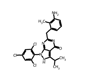 Cc1c(N)cccc1Cc1nc2n(-c3c(Cl)cc(Cl)cc3Cl)[nH]c(C(C)C)c-2c(=O)n1